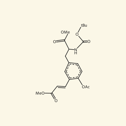 COC(=O)C=Cc1cc(CC(NC(=O)OC(C)(C)C)C(=O)OC)ccc1OC(C)=O